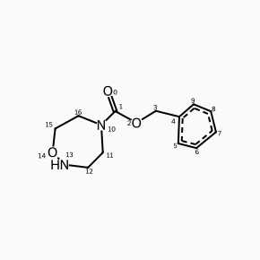 O=C(OCc1ccccc1)N1CCNOCC1